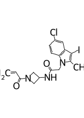 C=CC(=O)N1CC(NC(=O)Cn2c(C)c(I)c3cc(Cl)ccc32)C1